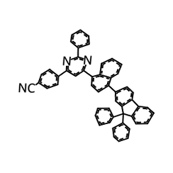 N#Cc1ccc(-c2cc(-c3ccc(-c4ccc5c(c4)C(c4ccccc4)(c4ccccc4)c4ccccc4-5)c4ccccc34)nc(-c3ccccc3)n2)cc1